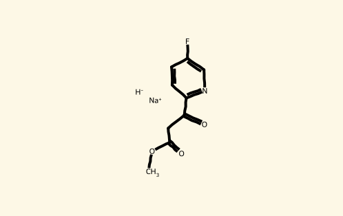 COC(=O)CC(=O)c1ccc(F)cn1.[H-].[Na+]